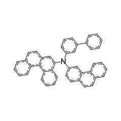 c1ccc(-c2cccc(N(c3ccc4ccc5ccccc5c4c3)c3cc4ccc5ccccc5c4c4ccccc34)c2)cc1